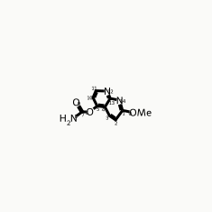 COc1ccc2c(OC(N)=O)ccnc2n1